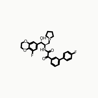 O=C(N[C@H](CN1CCCC1)[C@@H](O)c1cc(F)c2c(c1)OCCO2)C(=O)c1cccc(-c2ccc(F)cc2)c1